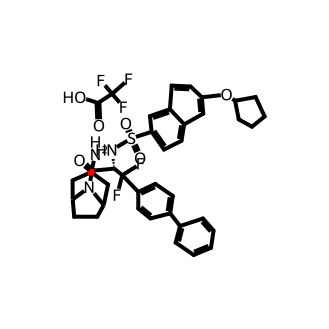 NC1CC2CCC(C1)N2C(=O)[C@H](NS(=O)(=O)c1ccc2cc(OC3CCCC3)ccc2c1)C(F)(F)c1ccc(-c2ccccc2)cc1.O=C(O)C(F)(F)F